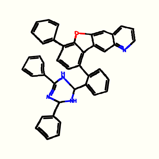 c1ccc(C2=NC(c3ccccc3)NC(c3ccccc3-c3ccc(-c4ccccc4)c4oc5cc6cccnc6cc5c34)N2)cc1